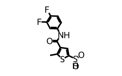 Cc1sc([SH](=O)=O)cc1C(=O)Nc1ccc(F)c(F)c1